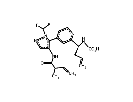 C=CC[C@H](NC(=O)O)c1cc(-c2c(NC(=O)C(C)C=C)cnn2C(F)F)ccn1